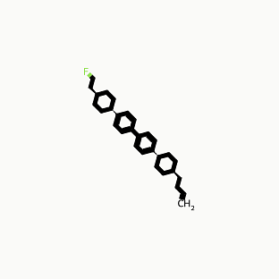 C=CCC[C@H]1CC[C@H](c2ccc(-c3ccc([C@H]4CC[C@H](CCF)CC4)cc3)cc2)CC1